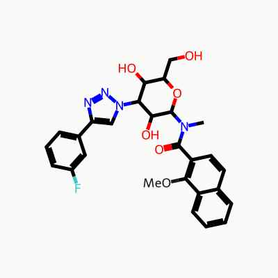 COc1c(C(=O)N(C)C2OC(CO)C(O)C(n3cc(-c4cccc(F)c4)nn3)C2O)ccc2ccccc12